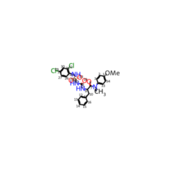 COc1ccc(N(C)C(=O)C(Cc2ccccc2)NC(=O)NS(=O)(=O)Nc2ccc(Cl)cc2Cl)cc1